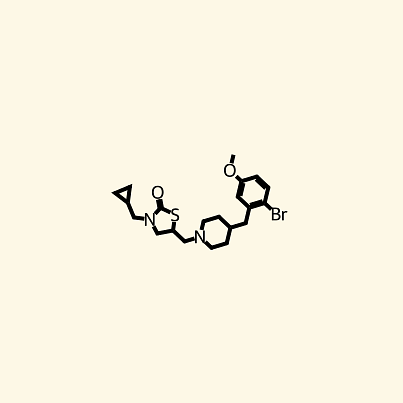 COc1ccc(Br)c(CC2CCN(CC3CN(CC4CC4)C(=O)S3)CC2)c1